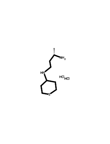 C[C@H](N)CCNC1CCSCC1.Cl.Cl